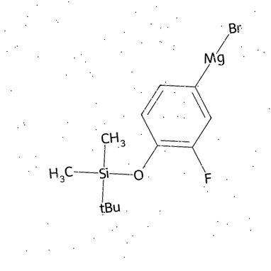 CC(C)(C)[Si](C)(C)Oc1cc[c]([Mg][Br])cc1F